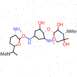 CNC(C)C1CC[C@H](N)C(ONC2CC(N)[C@@H](O[C@H]3OCC(C)(O)[C@@H](NC)C3O)C(O)C2)O1